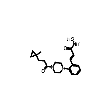 CC1(CCC(=O)N2CCN(c3ccccc3C=CC(=O)NO)CC2)CC1